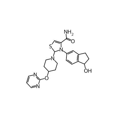 NC(=O)C1=CSC(N2CCC(Oc3ncccn3)CC2)N1c1ccc2c(c1)CCC2O